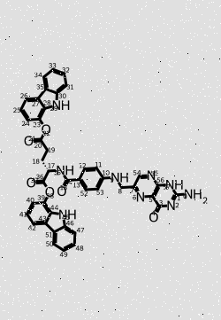 Nc1nc(=O)c2nc(CNc3ccc(C(=O)N[C@@H](CCC(=O)Oc4cccc5c4[nH]c4ccccc45)C(=O)Oc4cccc5c4[nH]c4ccccc45)cc3)cnc2[nH]1